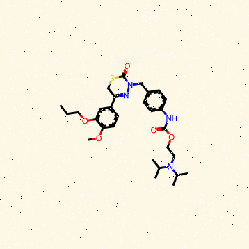 CCCOc1cc(C2=NN(Cc3ccc(NC(=O)OCCN(C(C)C)C(C)C)cc3)C(=O)SC2)ccc1OC